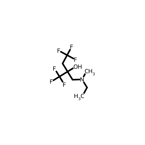 CCN(C)CC(O)(CC(F)(F)F)C(F)(F)F